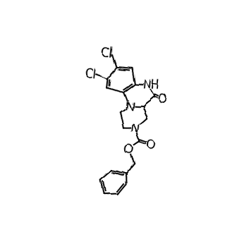 O=C1Nc2cc(Cl)c(Cl)cc2N2CCN(C(=O)OCc3ccccc3)CC12